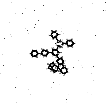 c1ccc(-c2ccc(-c3cc(-c4ccc5c(c4)C4(c6ccccc6-5)C5CC6CC(C5)CC4C6)cc(-c4nc(-c5ccccc5)nc(-c5ccccc5)n4)c3)cc2)cc1